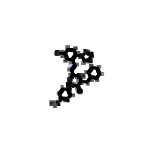 Nc1ccc(NC(=O)[C@H](Cc2ccccc2)NC(=O)/C=C/c2cc(Cl)ccc2-n2cnnn2)cn1